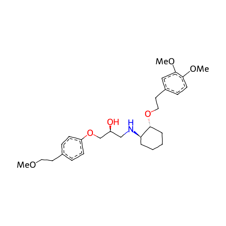 COCCc1ccc(OC[C@@H](O)CN[C@@H]2CCCC[C@H]2OCCc2ccc(OC)c(OC)c2)cc1